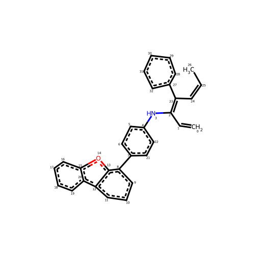 C=C/C(Nc1ccc(-c2cccc3c2oc2ccccc23)cc1)=C(\C=C/C)c1ccccc1